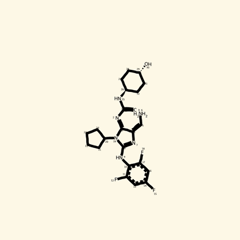 C=C(/N=C1\C(=C/N)N=C(Nc2c(F)cc(F)cc2F)N1C1CCCC1)N[C@H]1CC[C@H](O)CC1